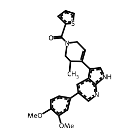 COc1ccc(-c2cnc3[nH]cc(C4=CCN(C(=O)c5cccs5)CC4C)c3c2)cc1OC